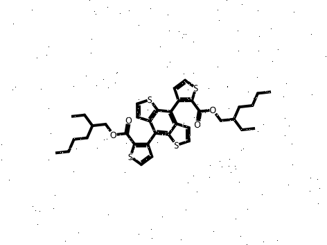 CCCCC(CC)COC(=O)c1sccc1-c1c2ccsc2c(-c2ccsc2C(=O)OCC(CC)CCCC)c2ccsc12